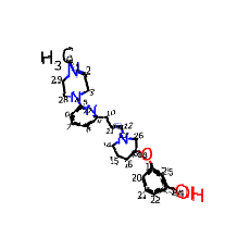 CN1CCN(c2cccc(C/C=C/N3CCC[C@H](Oc4cccc(O)c4)C3)n2)CC1